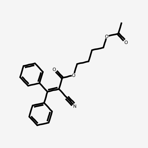 CC(=O)OCCCCOC(=O)C(C#N)=C(c1ccccc1)c1ccccc1